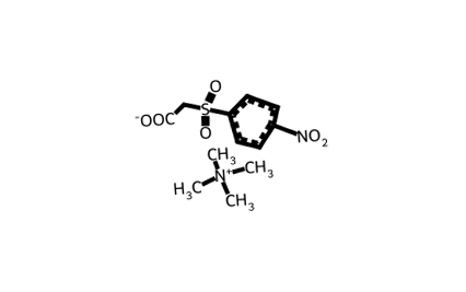 C[N+](C)(C)C.O=C([O-])CS(=O)(=O)c1ccc([N+](=O)[O-])cc1